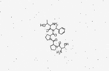 CC(O)C(N)C(=O)N1CCCC1C(=O)N1CCCC1C(=O)N(C(=O)C(N)C(C)O)C(C)c1ccccc1